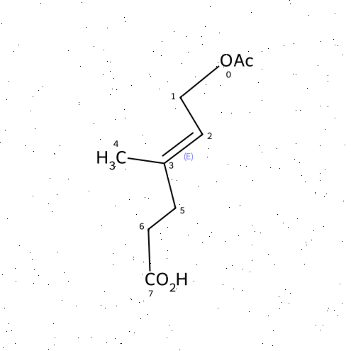 CC(=O)OC/C=C(\C)CCC(=O)O